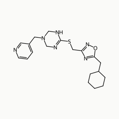 c1cncc(CN2CN=C(SCc3noc(CC4CCCCC4)n3)NC2)c1